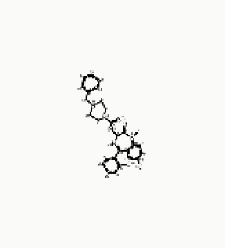 CN1C(=O)C(NC(=S)N2CCN(Cc3ccccc3)CC2)N=C(c2ccccc2Cl)c2cc(Cl)ccc21